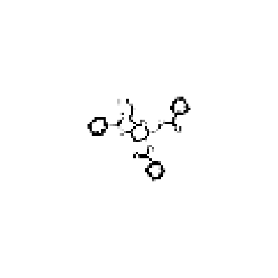 CCS[C@@H]1O[C@H](COC(=O)c2ccccc2)[C@H](OC(=O)c2ccccc2)C[C@H]1OC(=O)c1ccccc1